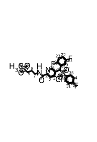 Cc1cc(C(=O)NCCCS(C)(=O)=O)ncc1C(c1cc(F)ccc1F)S(=O)(=O)c1ccc(F)cc1